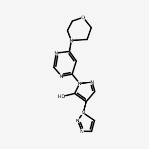 Oc1c(-n2ccnn2)cnn1-c1cc(N2CCOCC2)ncn1